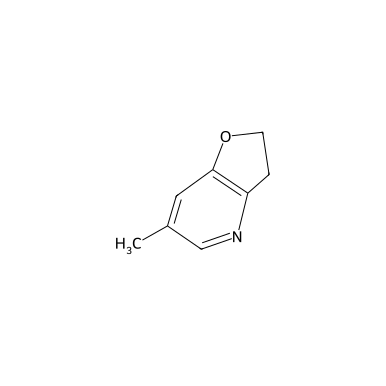 Cc1cnc2c(c1)OCC2